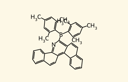 Cc1cc(C)c(B(c2c(C)cc(C)cc2C)c2nc3c4ccccc4ccc3c3c2ccc2ccccc23)c(C)c1